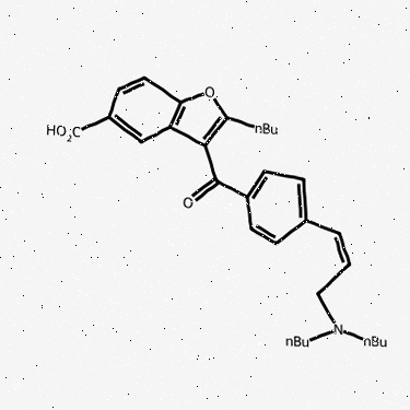 CCCCc1oc2ccc(C(=O)O)cc2c1C(=O)c1ccc(/C=C\CN(CCCC)CCCC)cc1